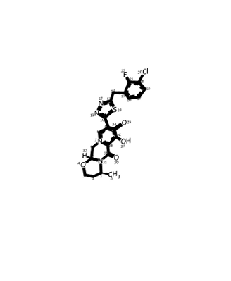 C[C@H]1CCO[C@@H]2Cn3cc(-c4nnc(Cc5cccc(Cl)c5F)s4)c(=O)c(O)c3C(=O)N12